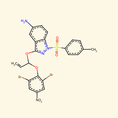 C=CC(Oc1c(Br)cc([N+](=O)[O-])cc1Br)Oc1nn(S(=O)(=O)c2ccc(C)cc2)c2ccc(N)cc12